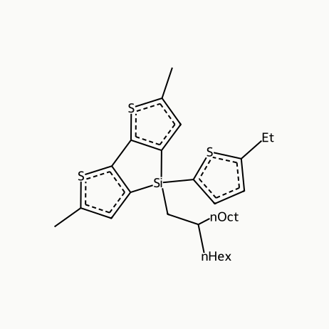 CCCCCCCCC(CCCCCC)C[Si]1(c2ccc(CC)s2)c2cc(C)sc2-c2sc(C)cc21